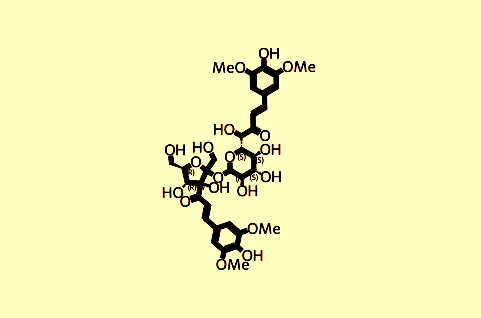 COc1cc(C=CC(=O)C(O)[C@H]2OC(OC3(CO)O[C@H](CO)[C@@H](O)[C@@]3(O)C(=O)C=Cc3cc(OC)c(O)c(OC)c3)[C@H](O)[C@@H](O)[C@@H]2O)cc(OC)c1O